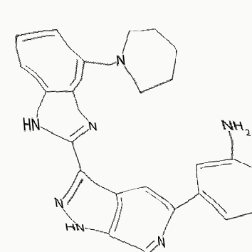 Nc1cncc(-c2cc3c(-c4nc5c(N6CCCCC6)cccc5[nH]4)n[nH]c3cn2)c1